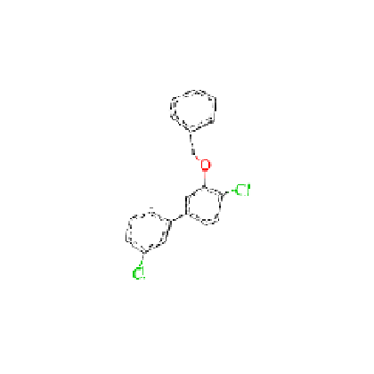 Clc1cc[c]c(-c2ccc(Cl)c(OCc3ccccc3)c2)c1